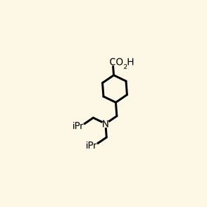 CC(C)CN(CC(C)C)CC1CCC(C(=O)O)CC1